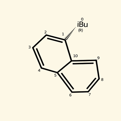 [CH2]C[C@@H](C)c1cccc2ccccc12